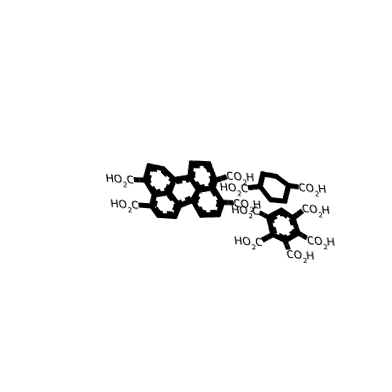 O=C(O)C1CCC(C(=O)O)CC1.O=C(O)c1cc(C(=O)O)c(C(=O)O)c(C(=O)O)c1C(=O)O.O=C(O)c1ccc2c3ccc(C(=O)O)c4c(C(=O)O)ccc(c5ccc(C(=O)O)c1c25)c43